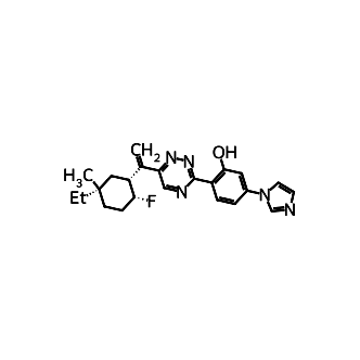 C=C(c1cnc(-c2ccc(-n3ccnc3)cc2O)nn1)[C@H]1C[C@@](C)(CC)CC[C@H]1F